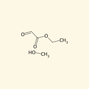 CCOC(=O)C=O.CO